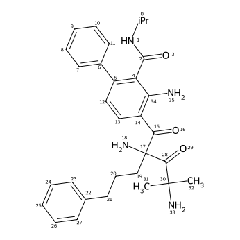 CC(C)NC(=O)c1c(-c2ccccc2)ccc(C(=O)C(N)(CCCc2ccccc2)C(=O)C(C)(C)N)c1N